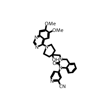 COc1cc2ncnc(N3CCC(O)(CN4Cc5ccccc5N(c5ccnc(C#N)c5)C4=O)CC3)c2cc1OC